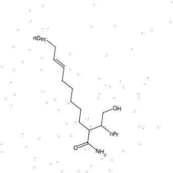 CCCCCCCCCCCC=CCCCCCC(C(N)=O)C(CO)CCC